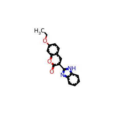 CCOc1ccc2cc(-c3nc4ccccc4[nH]3)c(=O)oc2c1